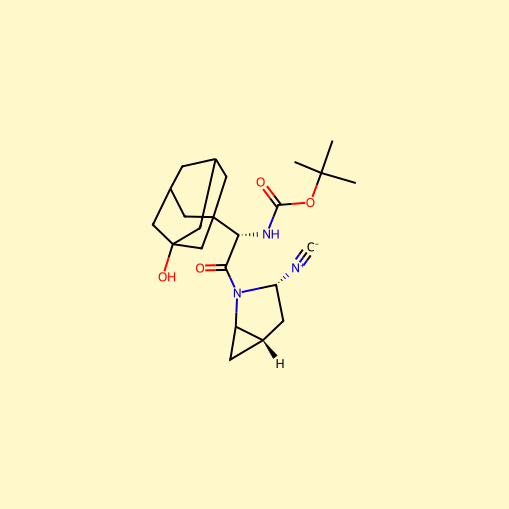 [C-]#[N+][C@@H]1C[C@@H]2CC2N1C(=O)[C@@H](NC(=O)OC(C)(C)C)C12CC3CC(CC(O)(C3)C1)C2